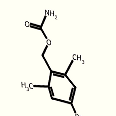 Cc1cc(Br)cc(C)c1COC(N)=O